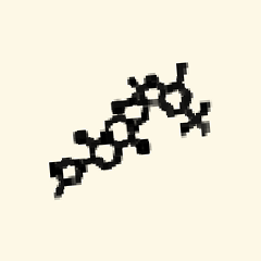 Cc1cn(-c2ccc3n(c2=O)CCN(C[C@@]24C(=O)[C@]2(C)Oc2c(F)cc(C(F)(F)F)cc24)C3=O)cn1